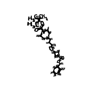 CC(C)(C)OC(=O)N1CCN(CCCOC2CN(C(=O)OCc3ccccc3)C2)CC1